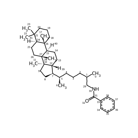 CC(CCC[C@@H](C)[C@H]1CC[C@]2(C)[C@@H]1CC[C@@H]1[C@@]3(C)CCCC(C)(C)[C@@H]3CC[C@]12C)CNC(=O)c1ccccc1